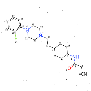 N#CCC(=O)NC1CCC(CCN2CCN(c3ccccc3F)CC2)CC1